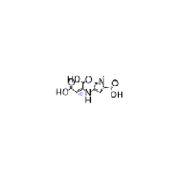 Cn1cc(N/C(=C/C(=O)O)C(=O)O)cc1C(=O)O